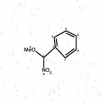 [C]OC(c1ccccc1)[N+](=O)[O-]